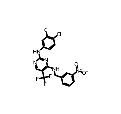 O=[N+]([O-])c1cccc(CNc2nc(Nc3ccc(Cl)c(Cl)c3)ncc2C(F)(F)F)c1